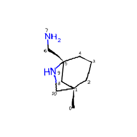 C[C@]12CCC[C@](CN)(C1)NC2